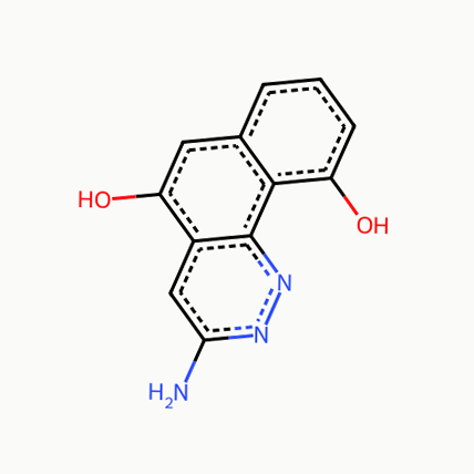 Nc1cc2c(O)cc3cccc(O)c3c2nn1